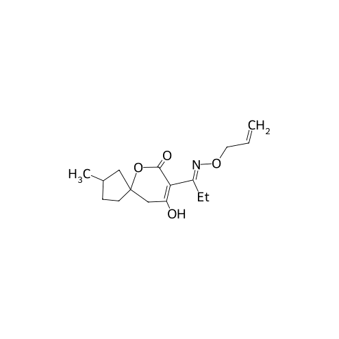 C=CCON=C(CC)C1=C(O)CC2(CCC(C)C2)OC1=O